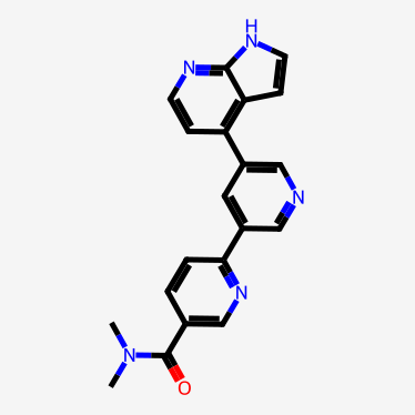 CN(C)C(=O)c1ccc(-c2cncc(-c3ccnc4[nH]ccc34)c2)nc1